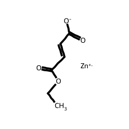 CCOC(=O)C=CC(=O)[O-].[Zn+]